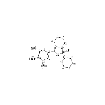 CC(C)(C)c1cc(CSP(=S)(C2CCCCC2)C2CCCCC2)cc(C(C)(C)C)c1O